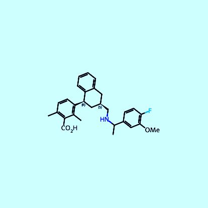 COc1cc(C(C)NC[C@@H]2Cc3ccccc3[C@H](c3ccc(C)c(C(=O)O)c3C)C2)ccc1F